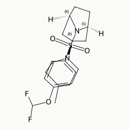 CC1CCN([C@H]2C[C@H]3CC[C@@H](C2)N3S(=O)(=O)c2ccc(OC(F)F)cc2)CC1